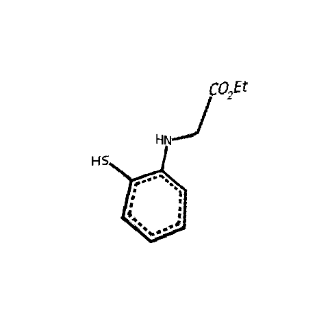 CCOC(=O)CNc1ccccc1S